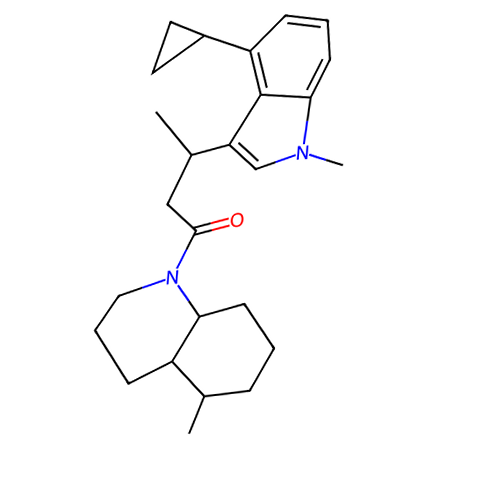 CC(CC(=O)N1CCCC2C(C)CCCC21)c1cn(C)c2cccc(C3CC3)c12